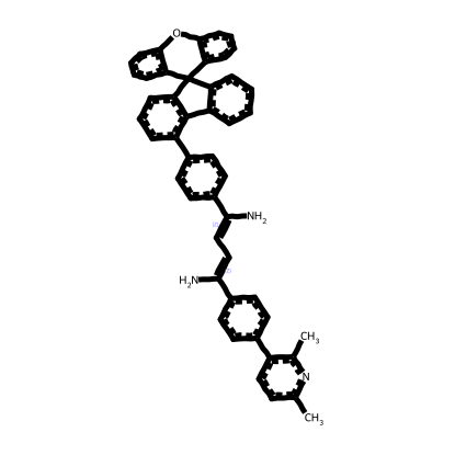 Cc1ccc(-c2ccc(/C(N)=C/C=C(\N)c3ccc(-c4cccc5c4-c4ccccc4C54c5ccccc5Oc5ccccc54)cc3)cc2)c(C)n1